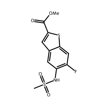 COC(=O)c1cc2cc(NS(C)(=O)=O)c(F)cc2s1